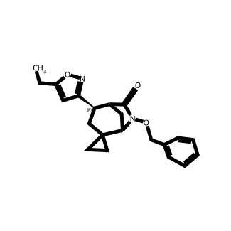 CCc1cc([C@@H]2CC3(CC3)C3CC2C(=O)N3OCc2ccccc2)no1